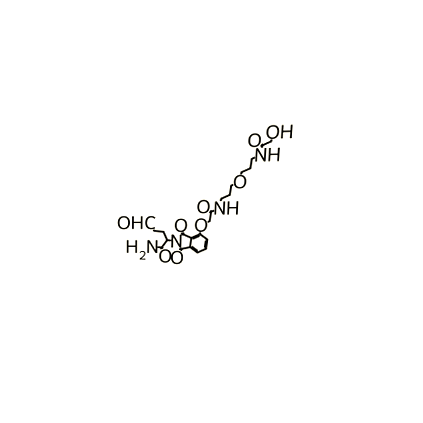 NC(=O)C(CCC=O)N1C(=O)c2cccc(OCC(=O)NCCCOCCCNC(=O)CO)c2C1=O